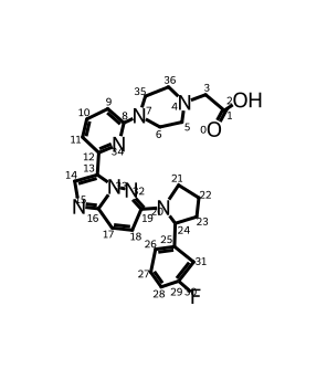 O=C(O)CN1CCN(c2cccc(-c3cnc4ccc(N5CCCC5c5cccc(F)c5)nn34)n2)CC1